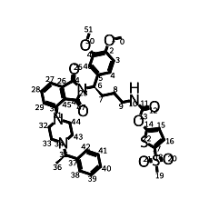 COc1ccc([C@@H](CCCNC(=O)Oc2ccc(S(C)(=O)=O)s2)N2C(=O)c3cccc(N4CCN([C@H](C)c5ccccc5)CC4)c3C2=O)cc1OC